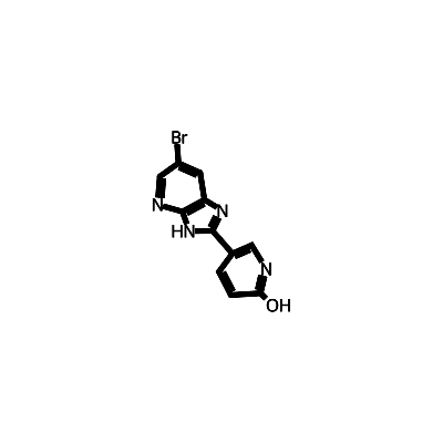 Oc1ccc(-c2nc3cc(Br)cnc3[nH]2)cn1